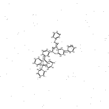 C/C(=N\C(=N/Cc1ccccc1)c1cccc(-c2cccnc2)c1)c1cccc(-c2c3ccccc3c(-c3ccccc3)c3ccccc23)c1